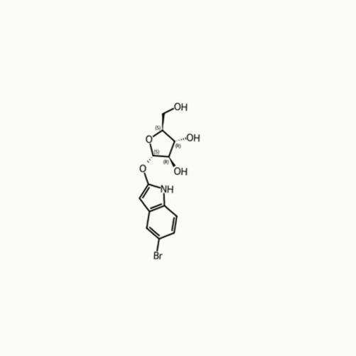 OC[C@@H]1O[C@@H](Oc2cc3cc(Br)ccc3[nH]2)[C@H](O)[C@H]1O